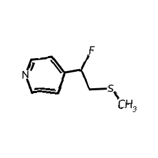 CSCC(F)c1ccncc1